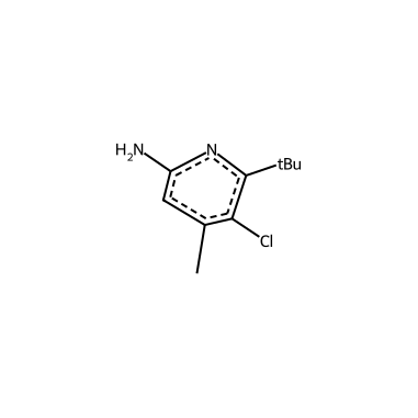 Cc1cc(N)nc(C(C)(C)C)c1Cl